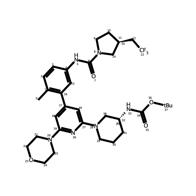 Cc1ccc(NC(=O)N2CC[C@@H](CC(F)(F)F)C2)cc1-c1cc(N2CCOCC2)nc(N2CCC[C@@H](NC(=O)OC(C)(C)C)C2)c1